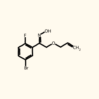 C=CCOC/C(=N\O)c1cc(Br)ccc1F